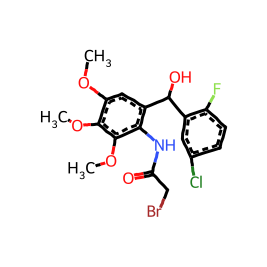 COc1cc(C(O)c2cc(Cl)ccc2F)c(NC(=O)CBr)c(OC)c1OC